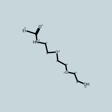 CCC(=O)NCCOCCOCCO